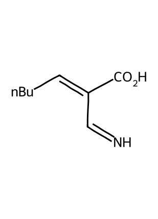 CCCC/C=C(\C=N)C(=O)O